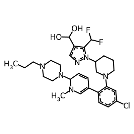 CCCN1CCN(C2C=CC(c3ccc(Cl)cc3N3CCCC(n4ncc(C(O)O)c4C(F)F)C3)=CN2C)CC1